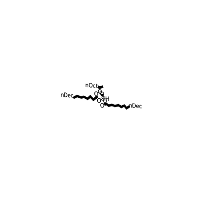 CCCCCCCCCCCCCCCCCC(=O)O[SiH](OOC(C)CCCCCCCC)OC(=O)CCCCCCCCCCCCCCCCC